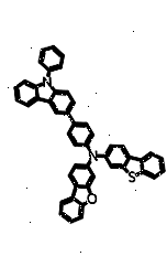 c1ccc(-n2c3ccccc3c3cc(-c4ccc(N(c5ccc6c(c5)oc5ccccc56)c5ccc6c(c5)sc5ccccc56)cc4)ccc32)cc1